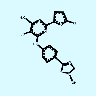 CCc1c(C)nc(-c2ccc(Cl)s2)nc1Nc1ccc(C2=NCB(O)O2)cc1